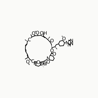 COC1C(=O)C(C)C[C@H](C)/C=C/C=C/C=C(\C)[C@@H](OC)C[C@@H]2CC[C@@H](C)[C@@](O)(O2)C(=O)C(=O)N2CCCCC2C(=O)O[C@H]([C@H](C)CC2CC[C@H](n3cnnn3)C(OC)C2)CC(=O)[C@H](C)/C=C(\C)[C@H]1O